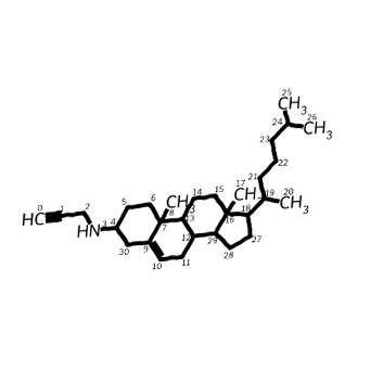 C#CCNC1CCC2(C)C(=CCC3C2CCC2(C)C(C(C)CCCC(C)C)CCC32)C1